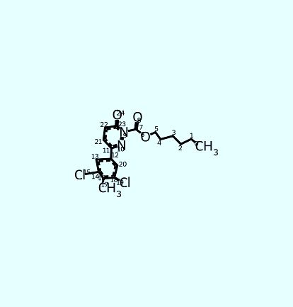 CCCCCCOC(=O)n1nc(-c2cc(Cl)c(C)c(Cl)c2)ccc1=O